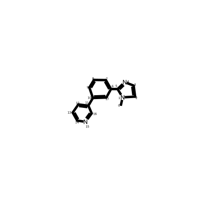 Cn1ccnc1-c1cccc(-c2cccnc2)c1